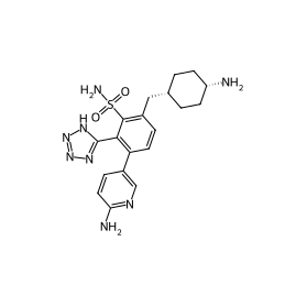 Nc1ccc(-c2ccc(C[C@H]3CC[C@@H](N)CC3)c(S(N)(=O)=O)c2-c2nnn[nH]2)cn1